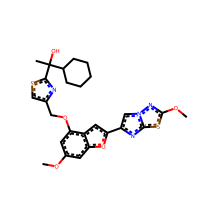 COc1cc(OCc2csc(C(C)(O)C3CCCCC3)n2)c2cc(-c3cn4nc(OC)sc4n3)oc2c1